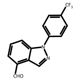 O=Cc1cccc2c1cnn2-c1ccc(C(F)(F)F)cc1